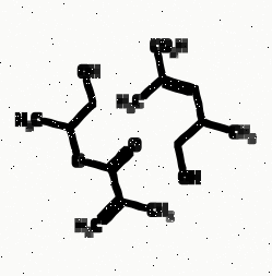 C=C(C)C(=O)OC(C)CO.CC(=CC(C)CO)C(=O)O